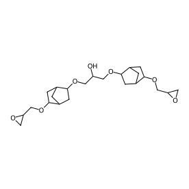 OC(COC1CC2CC1CC2OCC1CO1)COC1CC2CC1CC2OCC1CO1